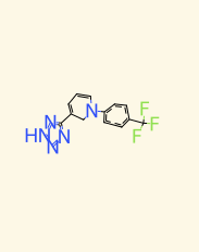 FC(F)(F)c1ccc(N2C=CC=C(c3nn[nH]n3)C2)cc1